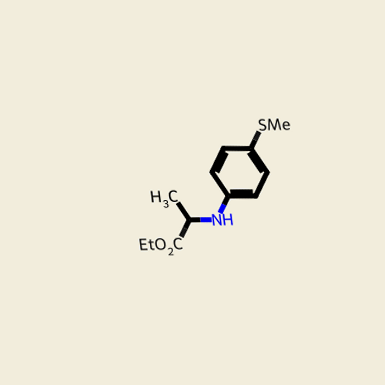 CCOC(=O)C(C)Nc1ccc(SC)cc1